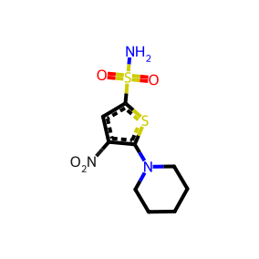 NS(=O)(=O)c1cc([N+](=O)[O-])c(N2CCCCC2)s1